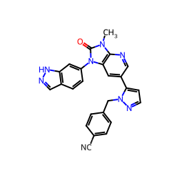 Cn1c(=O)n(-c2ccc3cn[nH]c3c2)c2cc(-c3ccnn3Cc3ccc(C#N)cc3)cnc21